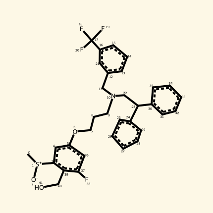 C[S+]([O-])c1cc(OCCCN(Cc2cccc(C(F)(F)F)c2)CC(c2ccccc2)c2ccccc2)cc(F)c1CO